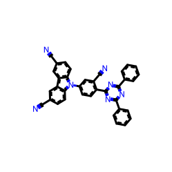 N#Cc1ccc2c(c1)c1cc(C#N)ccc1n2-c1ccc(-c2nc(-c3ccccc3)nc(-c3ccccc3)n2)c(C#N)c1